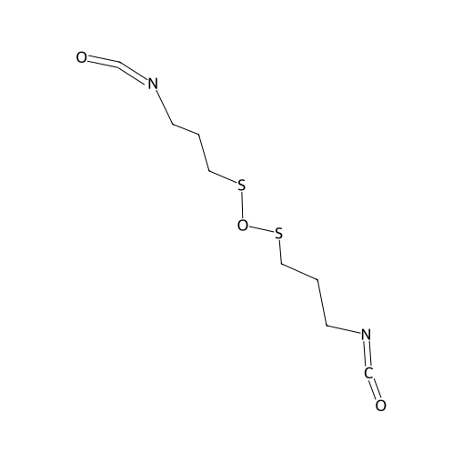 O=C=NCCCSOSCCCN=C=O